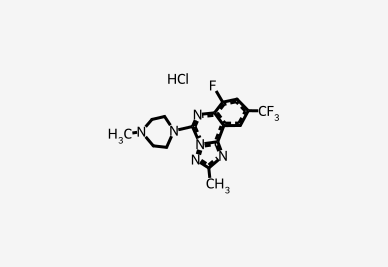 Cc1nc2c3cc(C(F)(F)F)cc(F)c3nc(N3CCN(C)CC3)n2n1.Cl